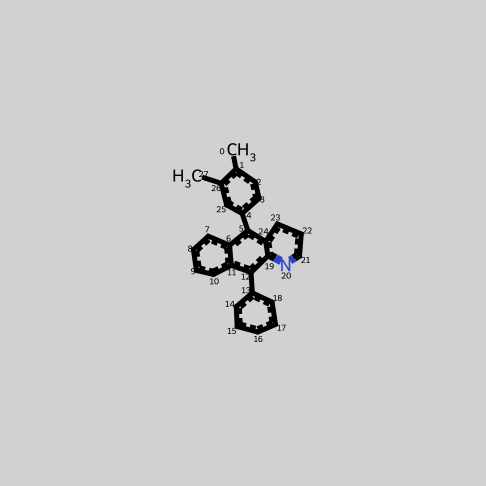 Cc1ccc(-c2c3ccccc3c(-c3ccccc3)c3ncccc23)cc1C